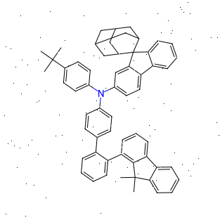 CC(C)(C)c1ccc(N(c2ccc(-c3ccccc3-c3cccc4c3C(C)(C)c3ccccc3-4)cc2)c2ccc3c(c2)C2(c4ccccc4-3)C3CC4CC(C3)CC2C4)cc1